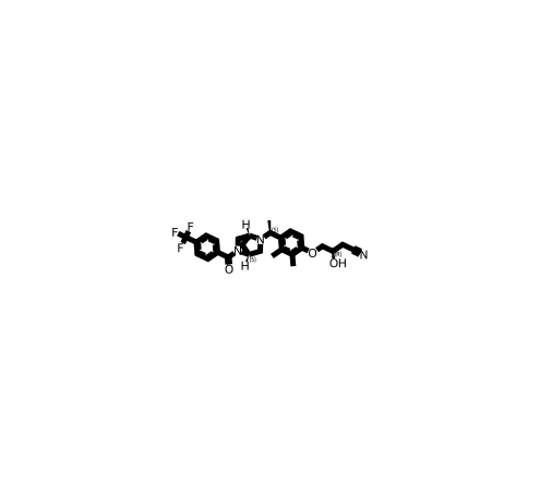 Cc1c(OC[C@H](O)CC#N)ccc([C@H](C)N2C[C@@H]3C[C@H]2CN3C(=O)c2ccc(C(F)(F)F)cc2)c1C